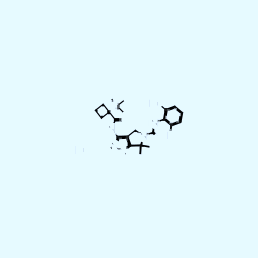 CCOC(=O)n1nc2c(c1NC(=O)C1([Si](C)(C)C)CCC1)CN(C(=O)Nc1c(F)cccc1CC)C2(C)C